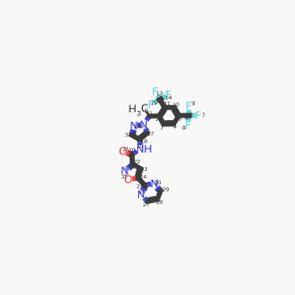 C[C@@H](c1ccc(C(F)(F)F)cc1C(F)(F)F)n1cc(NC(=O)c2cc(-c3ncccn3)on2)cn1